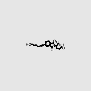 O=C1CCC(N2C(=O)c3ccc(C#CCCCCO)cc3C2=O)C(=O)N1